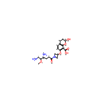 COC(CN)[C@H](N)CCC(=O)N1CC(Oc2ccc3c(c2C(=O)O)OB(O)CC3)C1